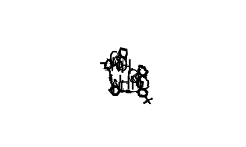 Cc1ccc(NS(=O)(=O)c2ccccc2)c(C#Cc2cccc(C#Cc3cc(C(C)(C)C)ccc3NS(=O)(=O)c3ccccc3)n2)c1